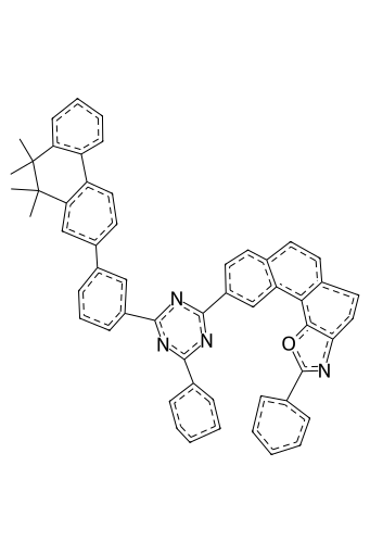 CC1(C)c2ccccc2-c2ccc(-c3cccc(-c4nc(-c5ccccc5)nc(-c5ccc6ccc7ccc8nc(-c9ccccc9)oc8c7c6c5)n4)c3)cc2C1(C)C